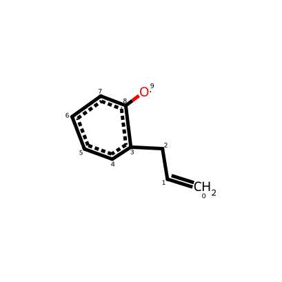 C=CCc1ccccc1[O]